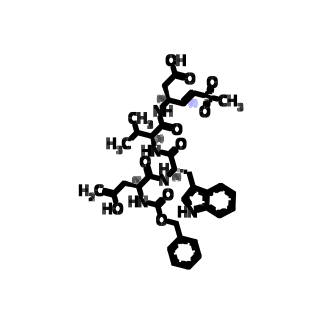 C=C(O)C[C@H](NC(=O)OCc1ccccc1)C(=O)N[C@@H](Cc1c[nH]c2ccccc12)C(=O)N[C@H](C(=O)N[C@H](/C=C/S(C)(=O)=O)CC(=O)O)C(C)C